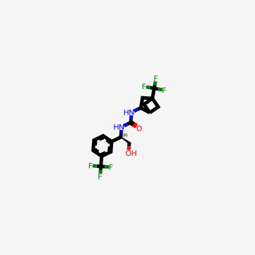 O=C(NC1CC2(C(F)(F)F)CC1C2)N[C@@H](CO)c1cccc(C(F)(F)F)c1